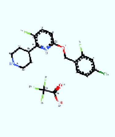 Fc1cc(Cl)ccc1COc1ccc(F)c(C2CCNCC2)n1.O=C(O)C(F)(F)F